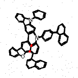 c1ccc(-n2c3ccccc3c3cc(-c4ccc5oc6ccccc6c5c4)c(N(c4ccc(-c5cccc6ccccc56)cc4)c4ccc(-c5cccc6ccccc56)cc4)cc32)cc1